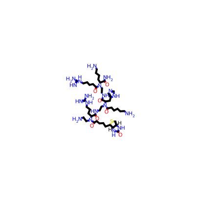 N=C(N)NCCCCC(=O)N(CCNC(=O)C(Cc1cnc[nH]1)N(CCNC(=O)C(CCCNC(=N)N)N(CCN)C(=O)CCCCC1SC[C@@H]2NC(=O)N[C@H]12)C(=O)CCCCCN)C(CCCCN)C(N)=O